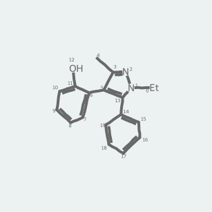 CCn1nc(C)c(-c2ccccc2O)c1-c1ccccc1